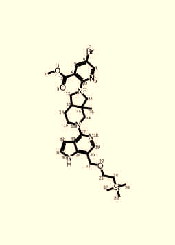 COC(=O)c1cc(Br)cnc1N1CC2CCN(c3ncc(COCC[Si](C)(C)C)c4[nH]ccc34)CC2(C)C1